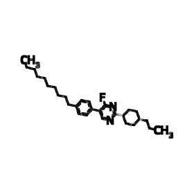 CCCCCCCCCCc1ccc(-c2cnc([C@H]3CC[C@H](CCC)CC3)nc2F)cc1